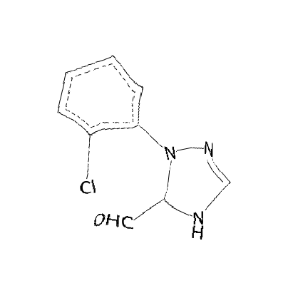 O=CC1NC=NN1c1ccccc1Cl